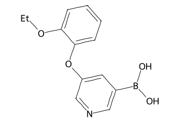 CCOc1ccccc1Oc1cncc(B(O)O)c1